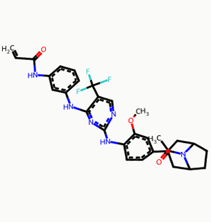 C=CC(=O)Nc1cccc(Nc2nc(Nc3ccc(C4CC5CCC(C4)N5C(C)=O)cc3OC)ncc2C(F)(F)F)c1